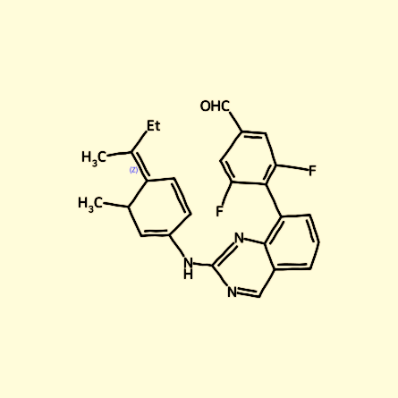 CC/C(C)=C1\C=CC(Nc2ncc3cccc(-c4c(F)cc(C=O)cc4F)c3n2)=CC1C